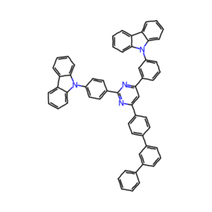 c1ccc(-c2cccc(-c3ccc(-c4cc(-c5cccc(-n6c7ccccc7c7ccccc76)c5)nc(-c5ccc(-n6c7ccccc7c7ccccc76)cc5)n4)cc3)c2)cc1